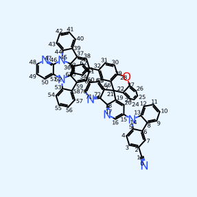 N#Cc1ccc2c(c1)c1ccccc1n2-c1cnc2c(c1)C1(c3ccccc3Oc3ccc(-c4ccc5c(c4)c4ccccc4n5-c4ncccc4-n4c5ccccc5c5ccccc54)cc31)c1cccnc1-2